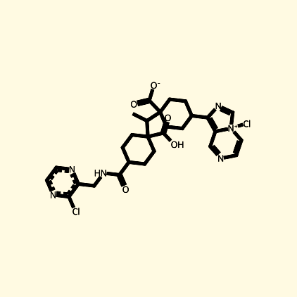 CC(C1(C(=O)[O-])CCC(C2=C3C=NC=C[N+]3(Cl)C=N2)CC1)C1(C(=O)O)CCC(C(=O)NCc2nccnc2Cl)CC1